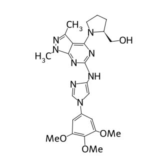 COc1cc(-n2cnc(Nc3nc(N4CCC[C@H]4CO)c4c(C)nn(C)c4n3)c2)cc(OC)c1OC